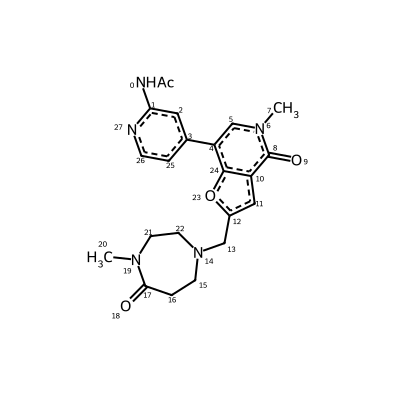 CC(=O)Nc1cc(-c2cn(C)c(=O)c3cc(CN4CCC(=O)N(C)CC4)oc23)ccn1